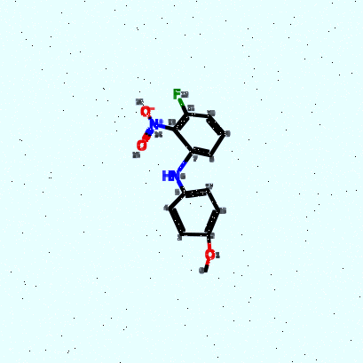 COc1ccc(Nc2cccc(F)c2[N+](=O)[O-])cc1